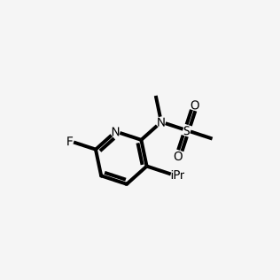 CC(C)c1ccc(F)nc1N(C)S(C)(=O)=O